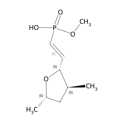 COP(=O)(O)/C=C/[C@H]1O[C@@H](C)C[C@@H]1C